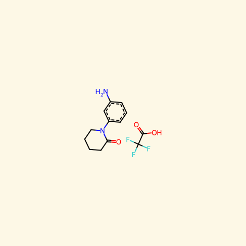 Nc1cccc(N2CCCCC2=O)c1.O=C(O)C(F)(F)F